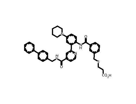 O=C(O)CCSCc1cccc(C(=O)Nc2ccc(N3CCCCC3)cc2-c2cc(C(=O)NCc3ccc(-c4ccccc4)cc3)ccn2)c1